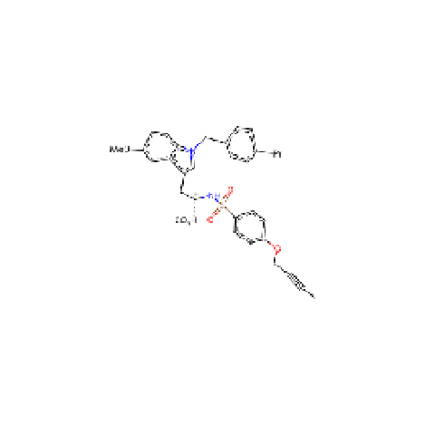 CC#CCOc1ccc(S(=O)(=O)N[C@@H](Cc2cn(Cc3ccc(C(C)C)cc3)c3ccc(OC)cc23)C(=O)O)cc1